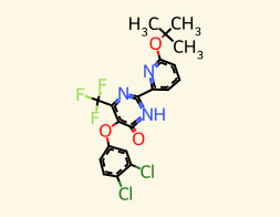 CC(C)(C)Oc1cccc(-c2nc(C(F)(F)F)c(Oc3ccc(Cl)c(Cl)c3)c(=O)[nH]2)n1